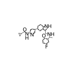 CC(NC(=O)c1c[nH]c2ccc(-c3ccc(NC(=O)C4CC4)nc3)cc12)c1cccc(F)c1